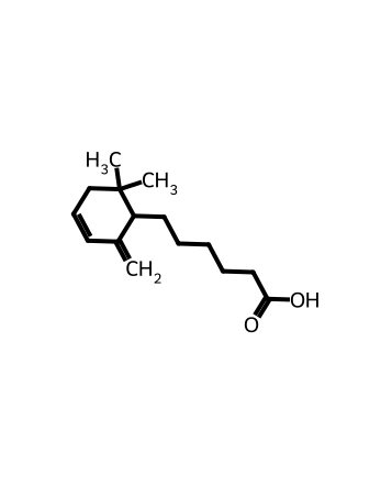 C=C1C=CCC(C)(C)C1CCCCCC(=O)O